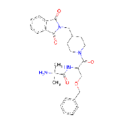 CC(C)(N)C(=O)NC(COCc1ccccc1)C(=O)N1CCC(CN2C(=O)c3ccccc3C2=O)CC1